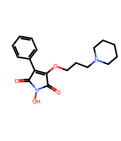 O=C1C(OCCCN2CCCCC2)=C(c2ccccc2)C(=O)N1O